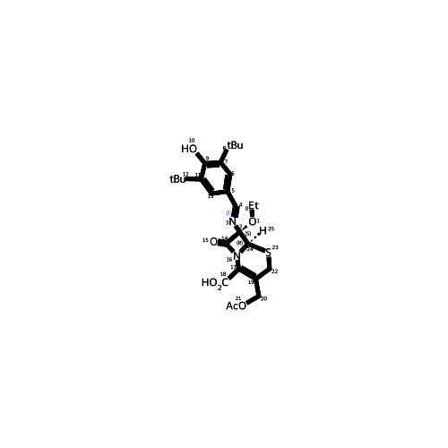 CCO[C@@]1(/N=C/c2cc(C(C)(C)C)c(O)c(C(C)(C)C)c2)C(=O)N2C(C(=O)O)=C(COC(C)=O)CS[C@@H]21